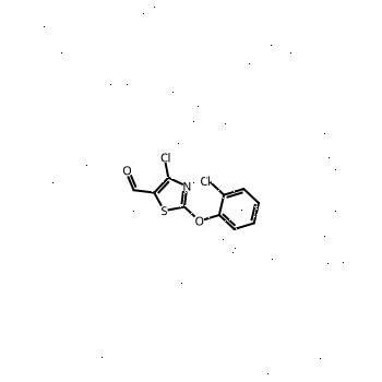 O=Cc1sc(Oc2ccccc2Cl)nc1Cl